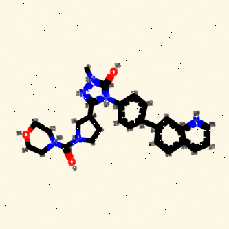 Cn1nc(C2CCN(C(=O)N3CCOCC3)C2)n(-c2ccc(-c3ccc4cccnc4c3)cc2)c1=O